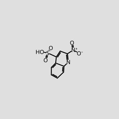 O=[N+]([O-])c1cc(S(=O)(=O)O)c2ccccc2n1